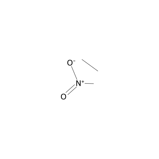 CC.C[N+](=O)[O-]